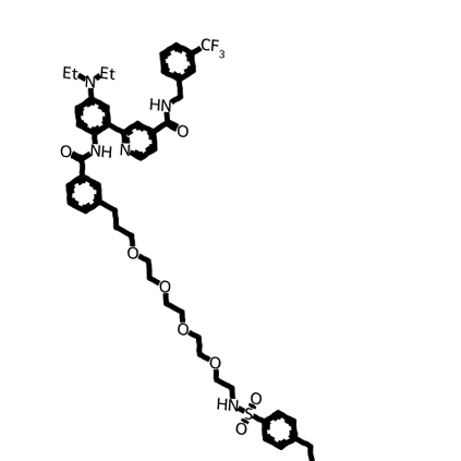 CCN(CC)c1ccc(NC(=O)c2cccc(CCCOCCOCCOCCOCCNS(=O)(=O)c3ccc(CCC(=O)O)cc3)c2)c(-c2cc(C(=O)NCc3cccc(C(F)(F)F)c3)ccn2)c1